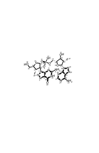 Nc1nc2c(nnn2[C@]2(OP(=O)(S)OC[C@H]3O[C@@H](n4nnc5c(N)ncnc54)[C@@H](F)[C@@H]3O)CS[C@H](CO)[C@H]2F)c(=O)[nH]1